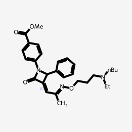 CCCCN(CC)CCCON=C(C)/C=C1/C(=O)N(c2ccc(C(=O)OC)cc2)C1c1ccccc1